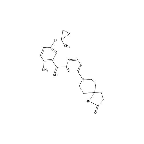 CC1(Oc2ccc(N)c(C(=N)c3cc(N4CCC5(CCC(=O)N5)CC4)ncn3)c2)CC1